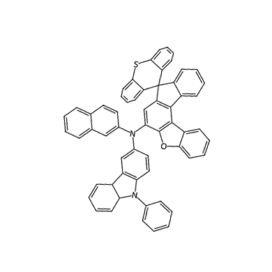 C1=CC2c3cc(N(c4ccc5ccccc5c4)c4cc5c(c6c4oc4ccccc46)-c4ccccc4C54c5ccccc5Sc5ccccc54)ccc3N(c3ccccc3)C2C=C1